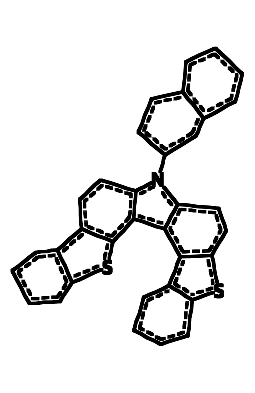 c1ccc2cc(-n3c4ccc5c6ccccc6sc5c4c4c5c(ccc43)sc3ccccc35)ccc2c1